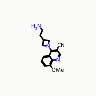 COc1cccc2c(N3CC(CCN)C3)c(C#N)cnc12